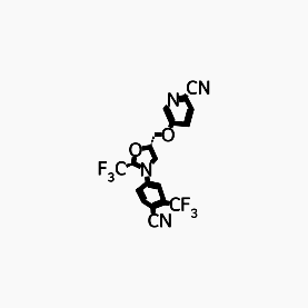 N#Cc1ccc(OC[C@@H]2CN(c3ccc(C#N)c(C(F)(F)F)c3)[C@@H](C(F)(F)F)O2)cn1